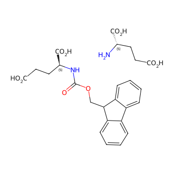 N[C@@H](CCC(=O)O)C(=O)O.O=C(O)CC[C@H](NC(=O)OCC1c2ccccc2-c2ccccc21)C(=O)O